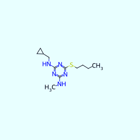 CCCCSc1nc(NC)nc(NCC2CC2)n1